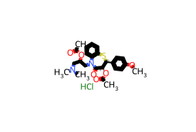 COc1ccc([C@@H]2Sc3ccccc3N(CC(CN(C)C)OC(C)=O)C(=O)[C@H]2OC(C)=O)cc1.Cl